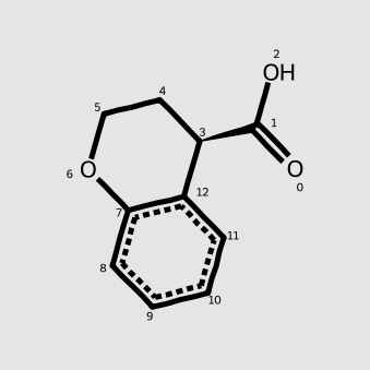 O=C(O)[C@@H]1CCOc2ccccc21